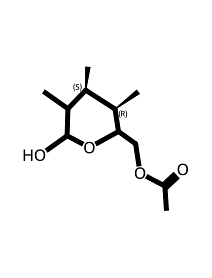 CC(=O)OCC1OC(O)C(C)[C@@H](C)[C@H]1C